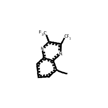 Cc1cccc2nc(C(F)(F)F)c(C(F)(F)F)nc12